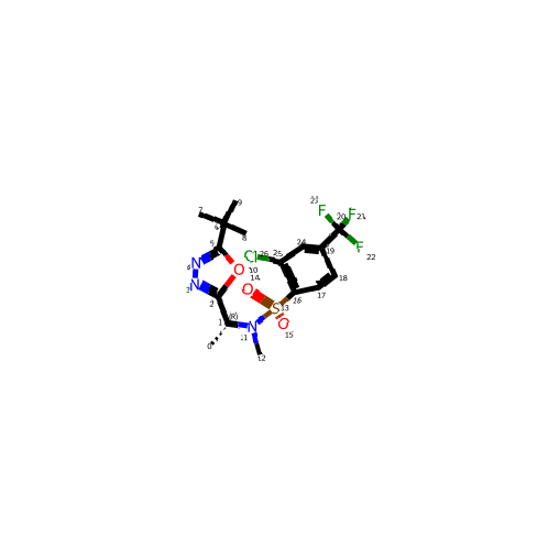 C[C@H](c1nnc(C(C)(C)C)o1)N(C)S(=O)(=O)c1ccc(C(F)(F)F)cc1Cl